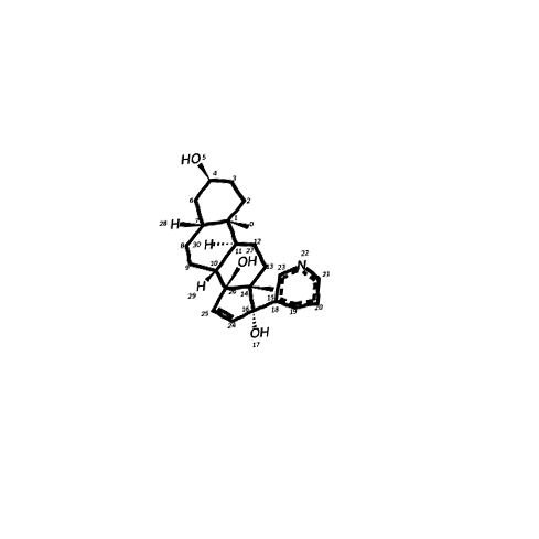 C[C@]12CC[C@H](O)C[C@H]1CC[C@@H]1[C@@H]2CC[C@]2(C)[C@@](O)(c3cccnc3)C=C[C@]12O